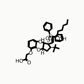 CCCCC[C@@H](O)C=C[C@]1(O[SiH](c2ccccc2)c2ccccc2)[C@@H]2Oc3cccc(OCC(=O)O)c3O[C@H]2C[C@@H]1C(C)(C)C